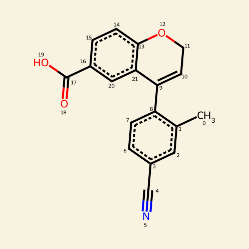 Cc1cc(C#N)ccc1C1=CCOc2ccc(C(=O)O)cc21